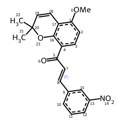 COc1ccc(C(=O)/C=C/c2cccc([N+](=O)[O-])c2)c2c1C=CC(C)(C)O2